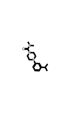 CC(C)c1cccc(N2CCN(C(=O)N(C)C)CC2)c1